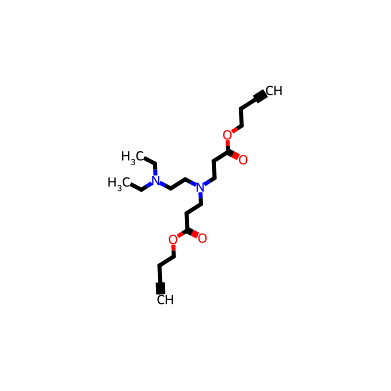 C#CCCOC(=O)CCN(CCC(=O)OCCC#C)CCN(CC)CC